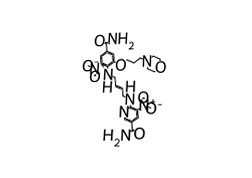 NC(=O)c1cnc(NCC=CCNc2c(OCCCN3CCOCC3)cc(C(N)=O)cc2[N+](=O)[O-])c([N+](=O)[O-])c1